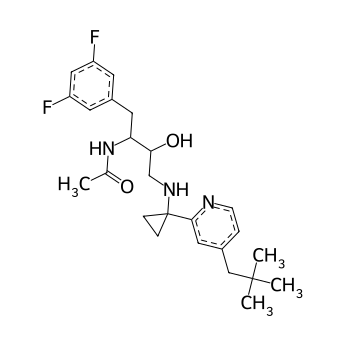 CC(=O)NC(Cc1cc(F)cc(F)c1)C(O)CNC1(c2cc(CC(C)(C)C)ccn2)CC1